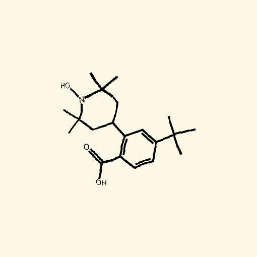 CC(C)(C)c1ccc(C(=O)O)c(C2CC(C)(C)N(O)C(C)(C)C2)c1